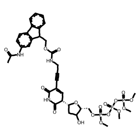 COP(=O)(OC)OP(=O)(OC)OP(=O)(OC)OC[C@H]1O[C@@H](C2C=C(C#CCNC(=O)OCC3c4ccccc4-c4ccc(NC(C)=O)cc43)C(=O)NC2=O)CC1O